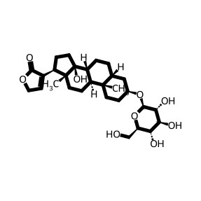 C[C@]12CC[C@H](O[C@@H]3O[C@H](CO)[C@@H](O)[C@H](O)[C@H]3O)C[C@H]1CC[C@@H]1[C@@H]2CC[C@]2(C)[C@@H](C3=CCOC3=O)CC[C@]12O